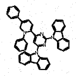 C1=C(c2ccccc2)CN(c2ccccc2)C(c2cc(-n3c4ccccc4c4ccccc43)nc(-n3c4ccccc4c4ccccc43)n2)=C1